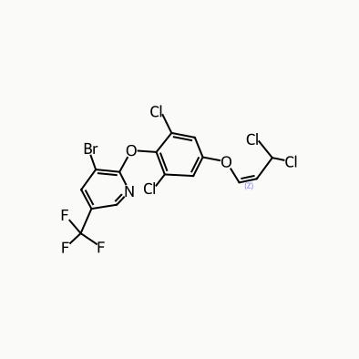 FC(F)(F)c1cnc(Oc2c(Cl)cc(O/C=C\C(Cl)Cl)cc2Cl)c(Br)c1